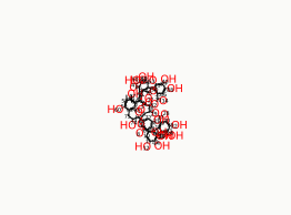 CC(=O)OC1COC(=O)c2cc(O)c(O)c(O)c2-c2c(cc(O)c(O)c2O)C(=O)OC1C1OC(=O)c2cc(O)c(O)c3c2C2C4=C(C(=O)C(O)(O)C2(O)O3)C(c2c(O)cc(O)c3c2OC(c2ccc(O)c(O)c2)C(O)C3)C1OC4=O